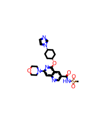 CS(=O)(=O)NC(=O)c1cnc2cc(N3CCOCC3)nc(O[C@H]3CC[C@@H](n4ccnc4)CC3)c2c1